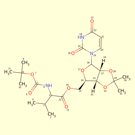 CC(C)C(NC(=O)OC(C)(C)C)C(=O)OC[C@H]1OC(n2ccc(=O)[nH]c2=O)[C@@H]2OC(C)(C)O[C@H]12